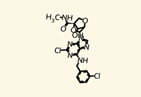 CNC(=O)[C@@]12COC(C1O)[C@H](n1cnc3c(NCc4cccc(Cl)c4)nc(Cl)nc31)O2